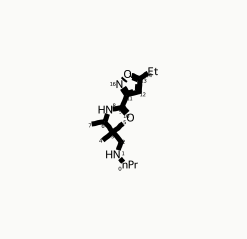 CCCNCC(C)(C)C(C)NC(=O)c1cc(CC)on1